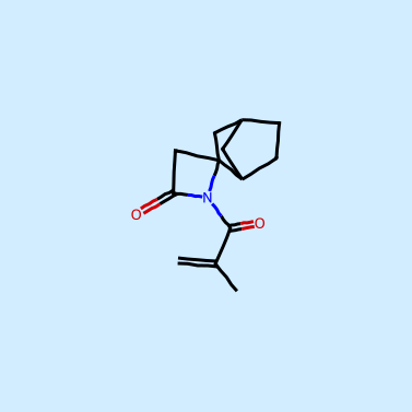 C=C(C)C(=O)N1C(=O)CC12CC1CCC2C1